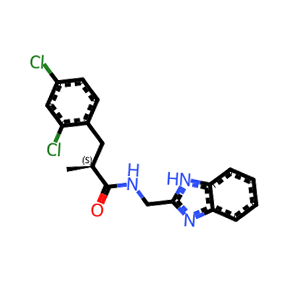 C[C@@H](Cc1ccc(Cl)cc1Cl)C(=O)NCc1nc2ccccc2[nH]1